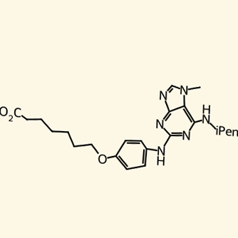 CCCC(C)Nc1nc(Nc2ccc(OCCCCCCC(=O)O)cc2)nc2ncn(C)c12